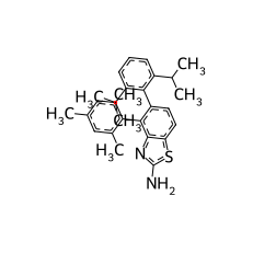 Cc1cc(C)c(-c2c(-c3c(C(C)C)cccc3C(C)C)ccc3sc(N)nc23)c(C)c1